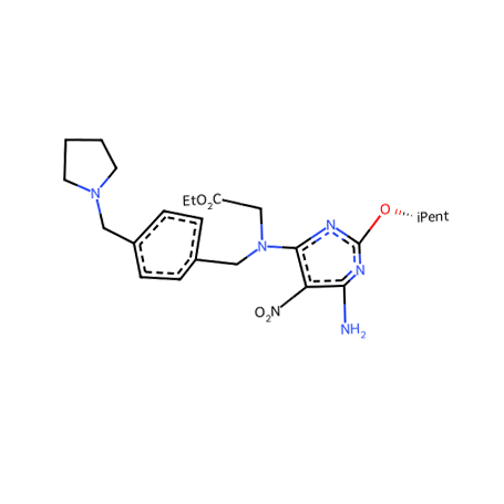 CCC[C@@H](C)Oc1nc(N)c([N+](=O)[O-])c(N(CC(=O)OCC)Cc2ccc(CN3CCCC3)cc2)n1